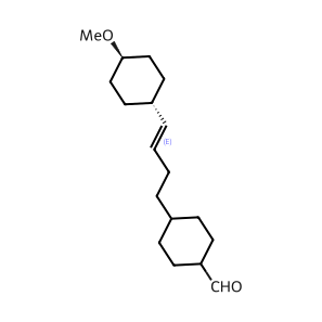 CO[C@H]1CC[C@H](/C=C/CCC2CCC(C=O)CC2)CC1